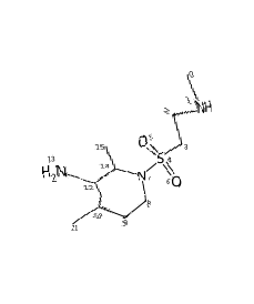 CNCCS(=O)(=O)N1CCC(C)C(N)C1C